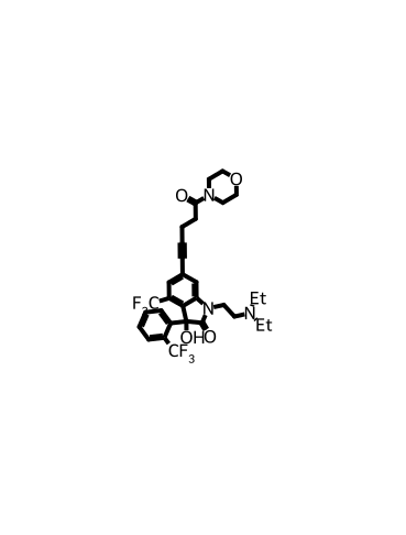 CCN(CC)CCN1C(=O)C(O)(c2ccccc2C(F)(F)F)c2c1cc(C#CCCC(=O)N1CCOCC1)cc2C(F)(F)F